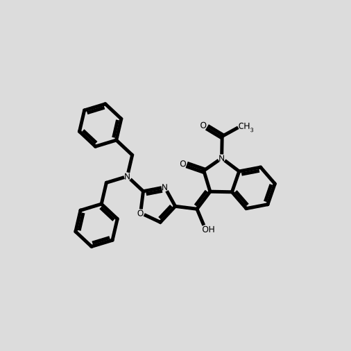 CC(=O)N1C(=O)C(=C(O)c2coc(N(Cc3ccccc3)Cc3ccccc3)n2)c2ccccc21